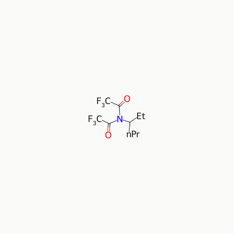 CCCC(CC)N(C(=O)C(F)(F)F)C(=O)C(F)(F)F